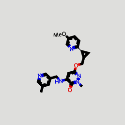 COc1ccc([C@@H]2CC2COc2cc(NCc3cncc(C)c3)c(=O)n(C)n2)nc1